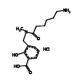 CN(Cc1cccc(C(=O)O)c1O)C(=O)CCCCCN.Cl